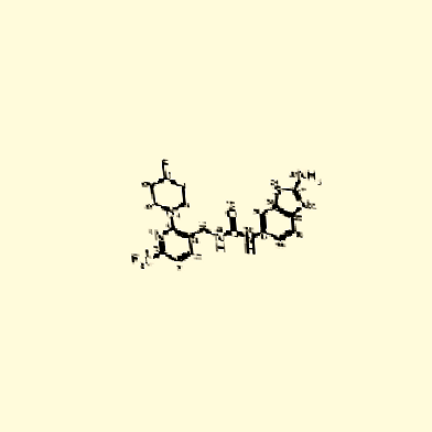 CC1CCN(c2nc(C(F)(F)F)ccc2CNC(=O)Nc2ccc3nc(N)sc3c2)CC1